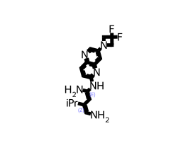 CC(C)C(=C/N)/C=C(\N)Nc1ccc2ncc(N3CC(F)(F)C3)cc2n1